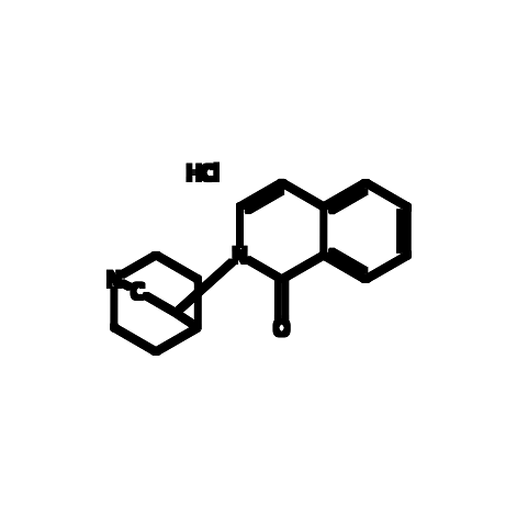 Cl.O=c1c2ccccc2ccn1C1CN2CCC1CC2